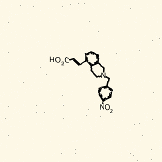 O=C(O)/C=C/c1cccc2c1CCN(Cc1ccc([N+](=O)[O-])cc1)C2